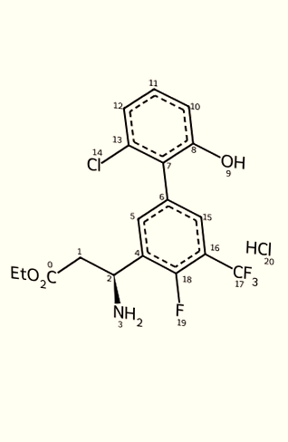 CCOC(=O)C[C@H](N)c1cc(-c2c(O)cccc2Cl)cc(C(F)(F)F)c1F.Cl